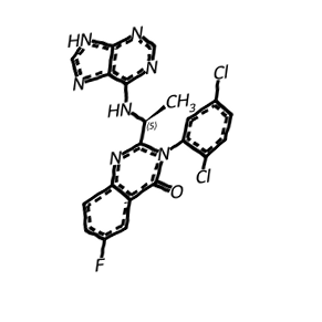 C[C@H](Nc1ncnc2[nH]cnc12)c1nc2ccc(F)cc2c(=O)n1-c1cc(Cl)ccc1Cl